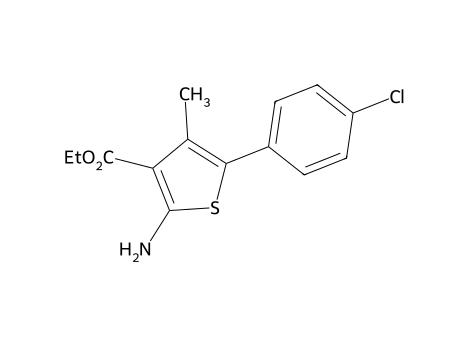 CCOC(=O)c1c(N)sc(-c2ccc(Cl)cc2)c1C